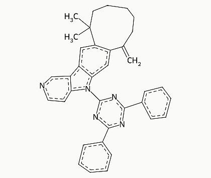 C=C1CCCCCC(C)(C)c2cc3c4cnccc4n(-c4nc(-c5ccccc5)nc(-c5ccccc5)n4)c3cc21